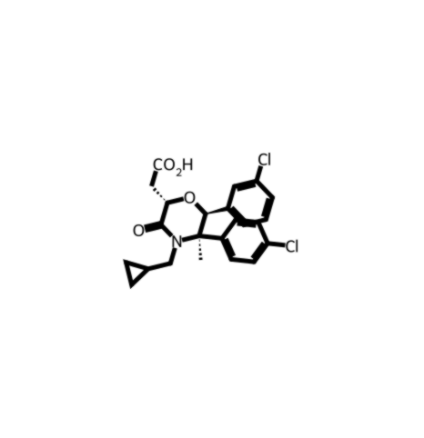 C[C@@]1(c2ccc(Cl)cc2)[C@H](c2cccc(Cl)c2)O[C@@H](CC(=O)O)C(=O)N1CC1CC1